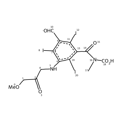 COCC(=O)CNc1c(I)c([C]=O)c(I)c(C(=O)N(C)C(=O)O)c1I